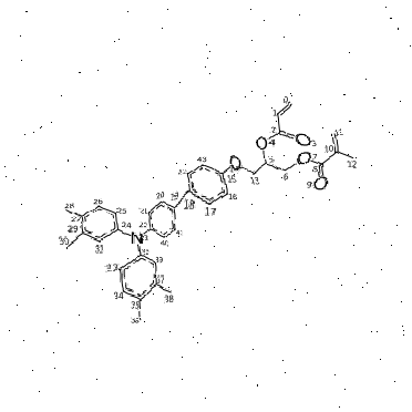 C=CC(=O)OC(COC(=O)C(=C)C)COc1ccc(-c2ccc(N(c3ccc(C)c(C)c3)c3ccc(C)c(C)c3)cc2)cc1